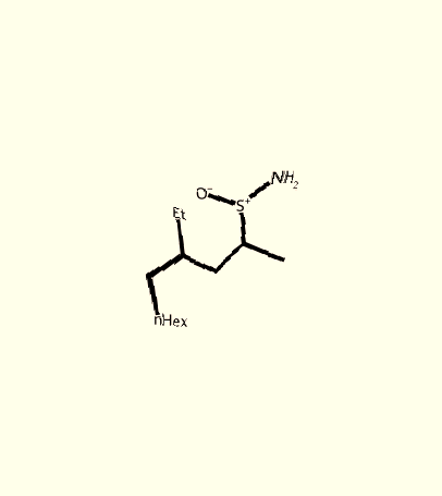 CCCCCCCC(CC)CC(C)[S+](N)[O-]